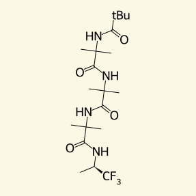 C[C@@H](NC(=O)C(C)(C)NC(=O)C(C)(C)NC(=O)C(C)(C)NC(=O)C(C)(C)C)C(F)(F)F